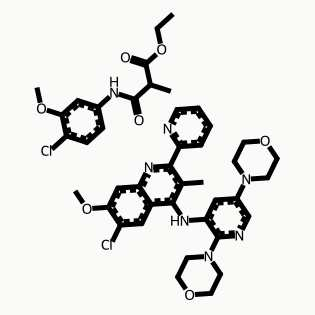 CCOC(=O)C(C)C(=O)Nc1ccc(Cl)c(OC)c1.COc1cc2nc(-c3ccccn3)c(C)c(Nc3cc(N4CCOCC4)cnc3N3CCOCC3)c2cc1Cl